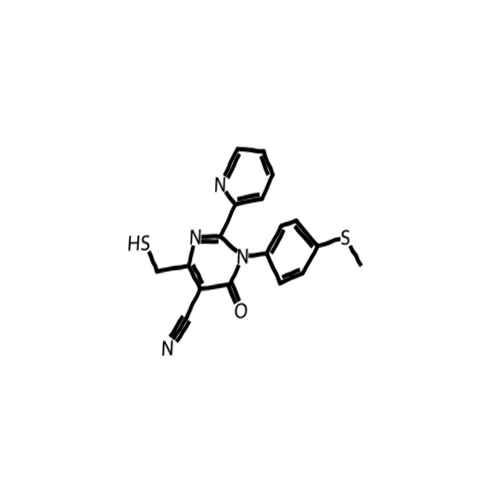 CSc1ccc(-n2c(-c3ccccn3)nc(CS)c(C#N)c2=O)cc1